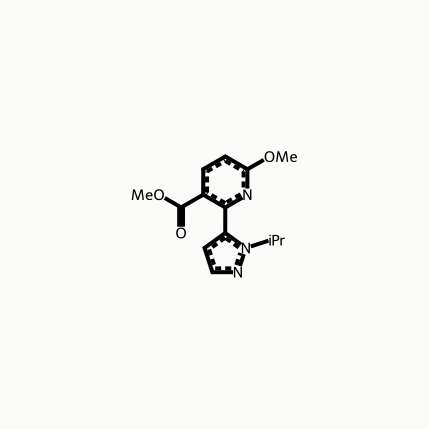 COC(=O)c1ccc(OC)nc1-c1ccnn1C(C)C